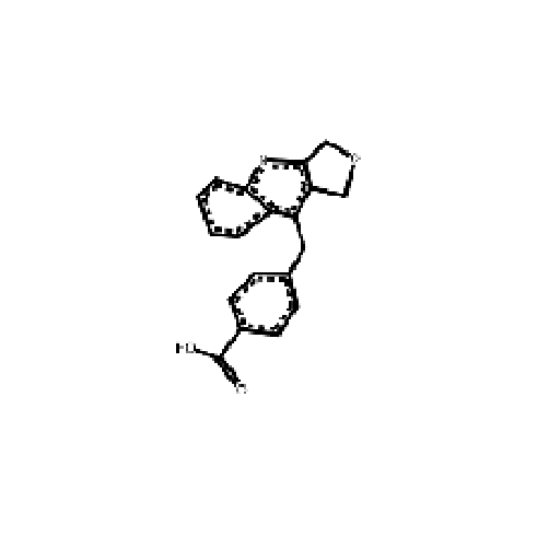 O=C(O)c1ccc(Cc2c3c(nc4ccccc24)COC3)cc1